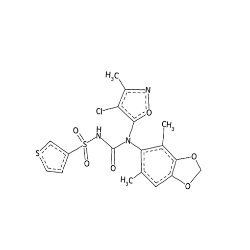 Cc1cc2c(c(C)c1N(C(=O)NS(=O)(=O)c1ccsc1)c1onc(C)c1Cl)OCO2